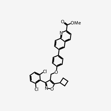 COC(=O)c1ccc2cc(-c3ccc(OCc4c(-c5c(Cl)cccc5Cl)noc4C4CCC4)cc3)ccc2n1